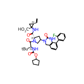 C=C[C@@H]1C[C@]1(NC(=O)[C@@H]1CC(N2Cc3cccc(-c4ccccc4F)c3NC2=O)CN1C(=O)[C@@H](NC(=O)OC1CCCC1)C(C)(C)C)C(=O)O